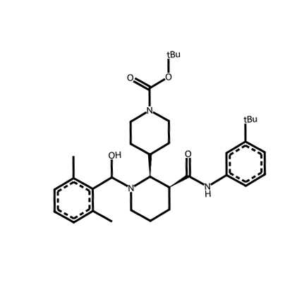 Cc1cccc(C)c1C(O)N1CCC[C@H](C(=O)Nc2cccc(C(C)(C)C)c2)[C@@H]1C1CCN(C(=O)OC(C)(C)C)CC1